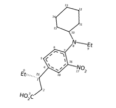 CC[C@@H](CC(=O)O)c1ccc(N(CC)C2CCCCC2)c([N+](=O)[O-])c1